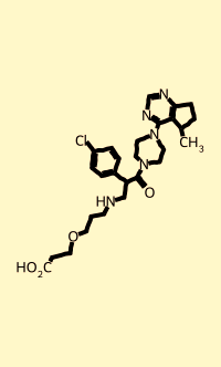 CC1CCc2ncnc(N3CCN(C(=O)C(CNCCCOCCC(=O)O)c4ccc(Cl)cc4)CC3)c21